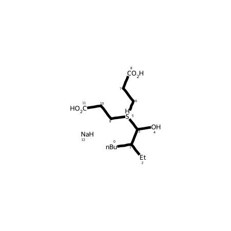 CCCCC(CC)C(O)[SH](CCC(=O)O)CCC(=O)O.[NaH]